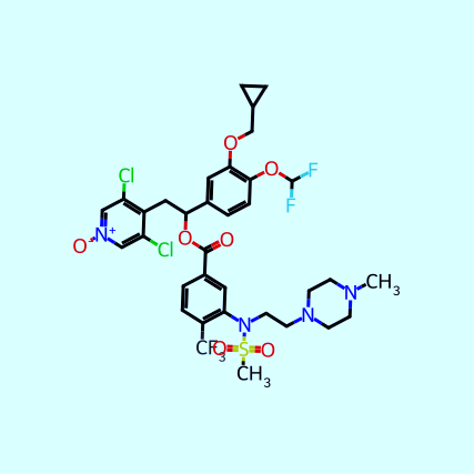 CN1CCN(CCN(c2cc(C(=O)OC(Cc3c(Cl)c[n+]([O-])cc3Cl)c3ccc(OC(F)F)c(OCC4CC4)c3)ccc2C(F)(F)F)S(C)(=O)=O)CC1